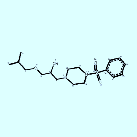 CC(C)COCC(O)CN1CCN(S(=O)(=O)c2ccccc2)CC1